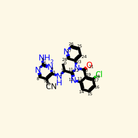 CC(Nc1nc(N)ncc1C#N)c1nc2cccc(Cl)c2c(=O)n1-c1cccnc1